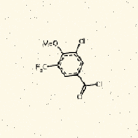 COc1c(Cl)cc(C(=O)Cl)cc1C(F)(F)F